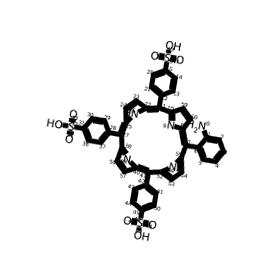 Nc1ccccc1-c1c2nc(c(-c3ccc(S(=O)(=O)O)cc3)c3ccc([nH]3)c(-c3ccc(S(=O)(=O)O)cc3)c3nc(c(-c4ccc(S(=O)(=O)O)cc4)c4ccc1[nH]4)C=C3)C=C2